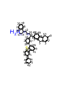 CC1C=CC2Cc3cc(C(/C=C/C=C(\C=C/N)c4ccccc4)c4cccc(-c5cccc6c5sc5ccc(C7=CC=CCC7)cc56)c4)ccc3C2C1